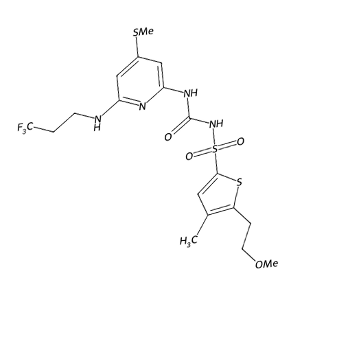 COCCc1sc(S(=O)(=O)NC(=O)Nc2cc(SC)cc(NCCC(F)(F)F)n2)cc1C